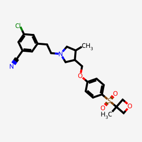 CC1CN(CCc2cc(Cl)cc(C#N)c2)CC1COc1ccc(S(=O)(=O)C2(C)COC2)cc1